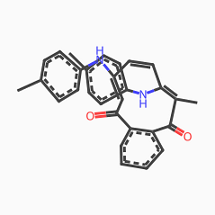 C\C1=C(Nc2ccc(C)cc2)/C=C\C(Nc2ccc(C)cc2)=C\C(=O)c2ccccc2C1=O